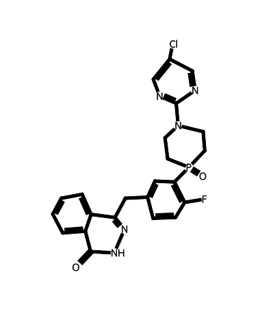 O=c1[nH]nc(Cc2ccc(F)c(P3(=O)CCN(c4ncc(Cl)cn4)CC3)c2)c2ccccc12